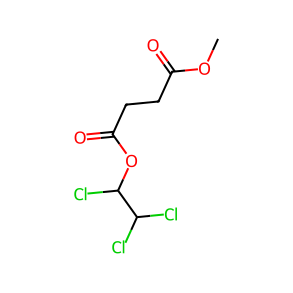 COC(=O)CCC(=O)OC(Cl)C(Cl)Cl